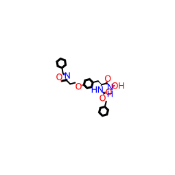 O=C(N[C@@H](Cc1ccc(OCCc2coc(-c3ccccc3)n2)cc1)C(=O)NO)OCc1ccccc1